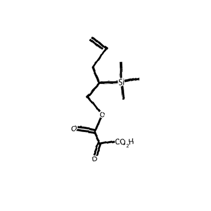 C=CCC(COC(=O)C(=O)C(=O)O)[Si](C)(C)C